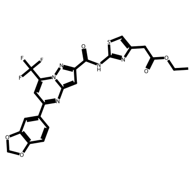 CCOC(=O)Cc1csc(NC(=O)c2cc3nc(-c4ccc5c(c4)OCO5)cc(C(F)(F)F)n3n2)n1